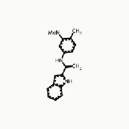 C=C(Nc1ccc(C)c(NC)c1)c1cc2ccccc2[nH]1